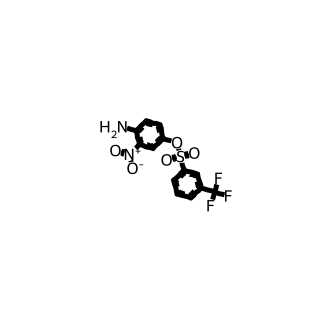 Nc1ccc(OS(=O)(=O)c2cccc(C(F)(F)F)c2)cc1[N+](=O)[O-]